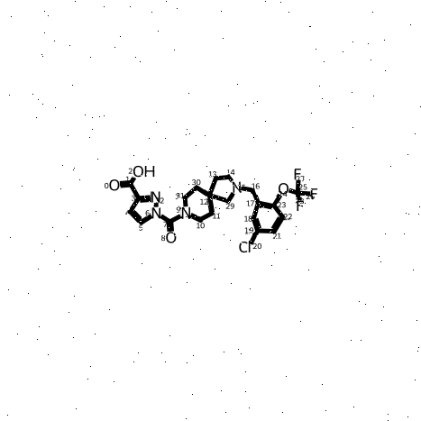 O=C(O)c1ccn(C(=O)N2CCC3(CCN(Cc4cc(Cl)ccc4OC(F)(F)F)C3)CC2)n1